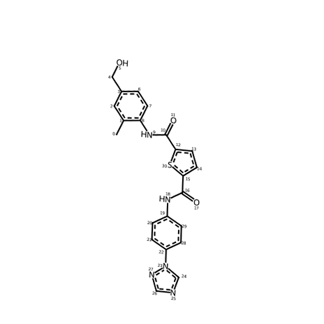 Cc1cc(CO)ccc1NC(=O)c1ccc(C(=O)Nc2ccc(-n3cncn3)cc2)s1